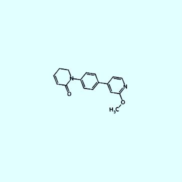 COc1cc(-c2ccc(N3CCC=CC3=O)cc2)ccn1